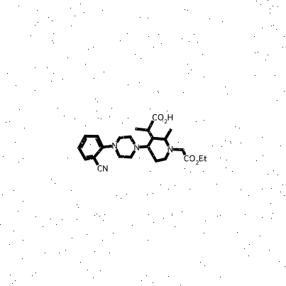 CCOC(=O)CN1CCC(N2CCN(c3ccccc3C#N)CC2)C(C(C)C(=O)O)C1C